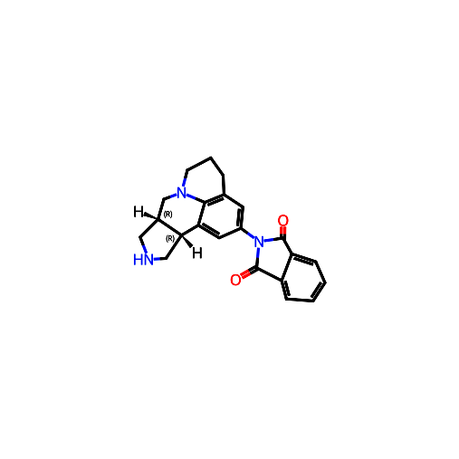 O=C1c2ccccc2C(=O)N1c1cc2c3c(c1)[C@@H]1CNC[C@@H]1CN3CCC2